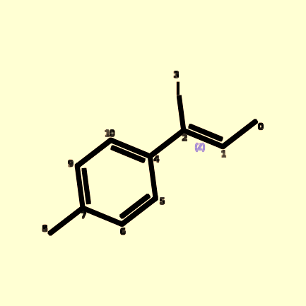 C/C=C(\I)c1ccc(C)cc1